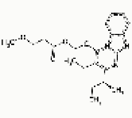 CCc1c([C@@H](C)CC)nc2nc3ccccc3n2c1OCOC(=O)CCOC